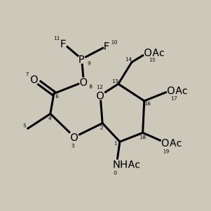 CC(=O)NC1C(OC(C)C(=O)OP(F)F)OC(COC(C)=O)C(OC(C)=O)C1OC(C)=O